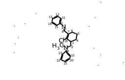 CN(CC1CCCC(/C=N/c2ccccc2)=C1Cl)c1ccccc1